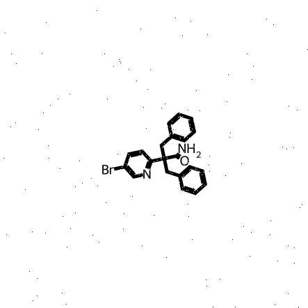 NC(=O)C(Cc1ccccc1)(Cc1ccccc1)c1ccc(Br)cn1